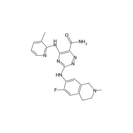 Cc1cccnc1Nc1nc(Nc2cc3c(cc2F)CCN(C)C3)nnc1C(N)=O